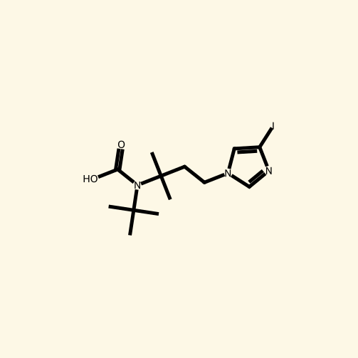 CC(C)(C)N(C(=O)O)C(C)(C)CCn1cnc(I)c1